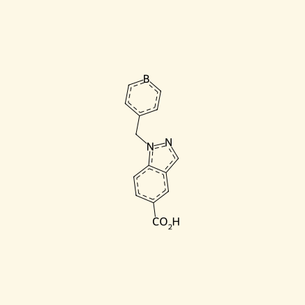 O=C(O)c1ccc2c(cnn2Cc2ccbcc2)c1